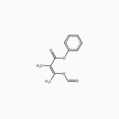 CC(OC=O)=C(C)C(=O)Oc1ccccc1